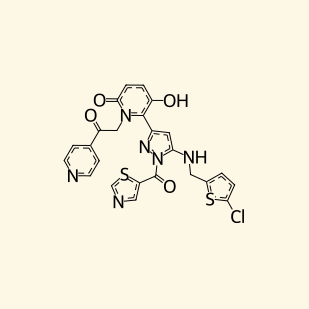 O=C(Cn1c(-c2cc(NCc3ccc(Cl)s3)n(C(=O)c3cncs3)n2)c(O)ccc1=O)c1ccncc1